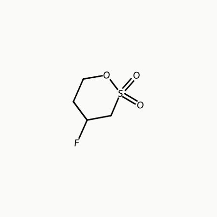 O=S1(=O)CC(F)CCO1